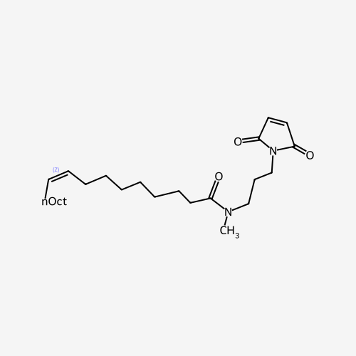 CCCCCCCC/C=C\CCCCCCCC(=O)N(C)CCCN1C(=O)C=CC1=O